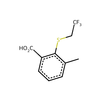 Cc1cccc(C(=O)O)c1SCC(F)(F)F